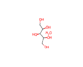 O.OC[C@@H](O)[C@H](O)[C@@H](O)CO